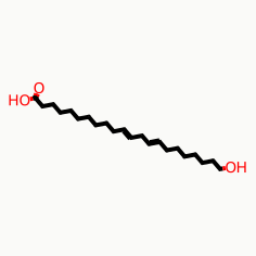 O=C(O)CCCCCCCCC/C=C/C/C=C/CCCCCCCO